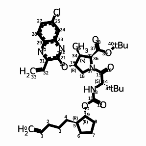 C=CCCC[C@@H]1CCC[C@H]1OC(=O)N[C@H](C(=O)N1C[C@H](Oc2nc3cc(Cl)ccc3nc2C=C)[C@@H](C)[C@H]1C(=O)OC(C)(C)C)C(C)(C)C